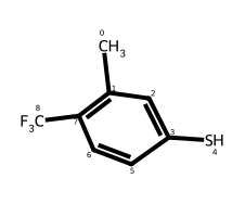 Cc1cc(S)ccc1C(F)(F)F